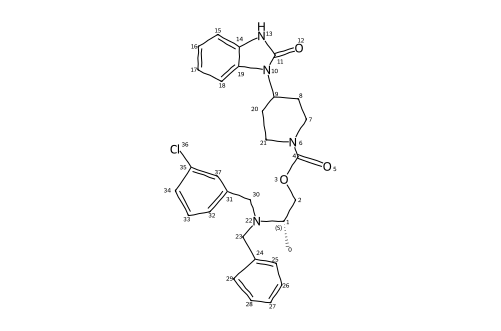 C[C@@H](COC(=O)N1CCC(n2c(=O)[nH]c3ccccc32)CC1)N(Cc1ccccc1)Cc1cccc(Cl)c1